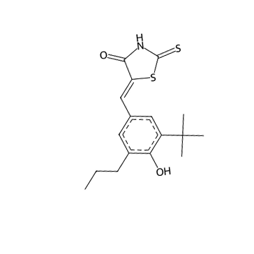 CCCc1cc(/C=C2\SC(=S)NC2=O)cc(C(C)(C)C)c1O